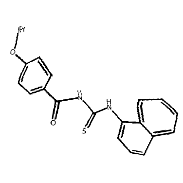 CC(C)Oc1ccc(C(=O)NC(=S)Nc2cccc3ccccc23)cc1